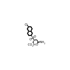 NC(=O)CN(CC(=O)O)S(=O)(=O)c1ccc2cc(Cl)ccc2c1